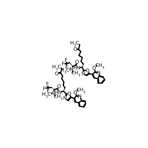 CCC(=O)CCCCC[C@H](NC(=O)[C@@H](CC(F)(F)F)N(C)C)c1ncc(-c2cc3ccccc3nc2OC)o1.CCC(=O)CCCCC[C@H](NC(=O)[C@H](CC(F)(F)F)N(C)C)c1ncc(-c2cc3ccccc3nc2OC)o1